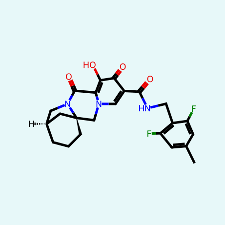 Cc1cc(F)c(CNC(=O)c2cn3c(c(O)c2=O)C(=O)N2C[C@@H]4CCC[C@]2(C4)C3)c(F)c1